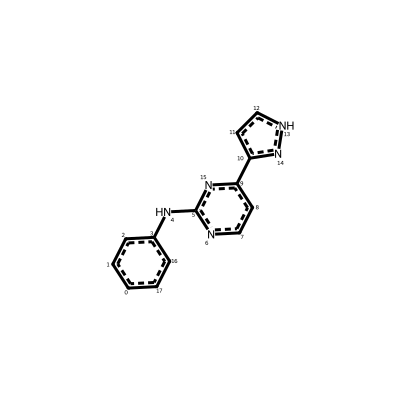 c1ccc(Nc2nccc(-c3cc[nH]n3)n2)cc1